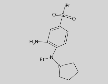 CCN(c1ccc(S(=O)(=O)C(C)C)cc1N)N1CCCC1